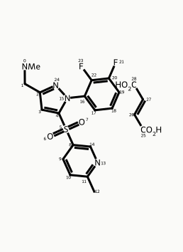 CNCc1cc(S(=O)(=O)c2ccc(C)nc2)n(-c2cccc(F)c2F)n1.O=C(O)C=CC(=O)O